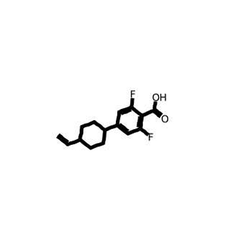 C=CC1CCC(c2cc(F)c(C(=O)O)c(F)c2)CC1